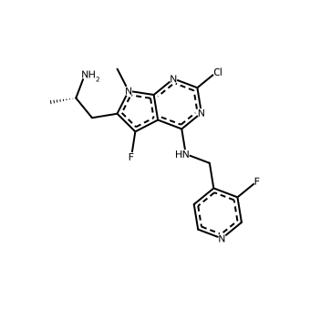 C[C@H](N)Cc1c(F)c2c(NCc3ccncc3F)nc(Cl)nc2n1C